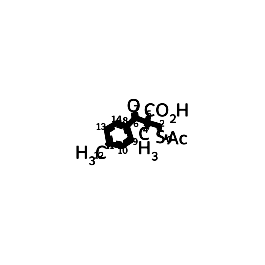 CC(=O)SCC(C)(C(=O)O)C(=O)c1ccc(C)cc1